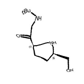 CC(C)(C)NC(=O)[C@@H]1CC[C@H](CO)N1